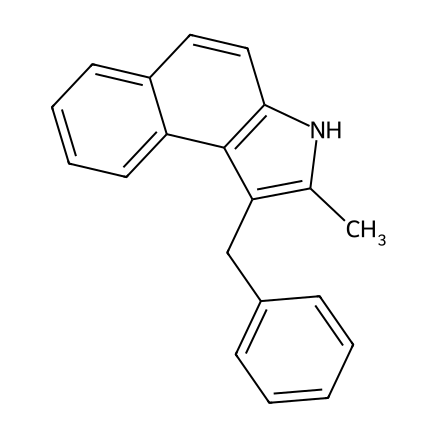 Cc1[nH]c2ccc3ccccc3c2c1Cc1ccccc1